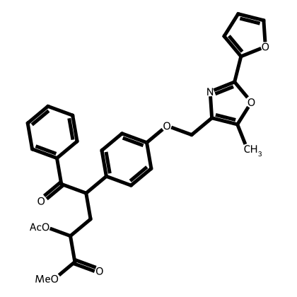 COC(=O)C(CC(C(=O)c1ccccc1)c1ccc(OCc2nc(-c3ccco3)oc2C)cc1)OC(C)=O